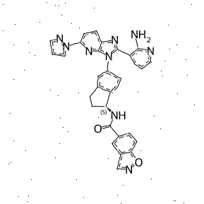 Nc1ncccc1-c1nc2ccc(-n3cccn3)nc2n1-c1ccc2c(c1)CC[C@@H]2NC(=O)c1ccc2oncc2c1